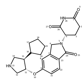 O=C1CC[C@H](N2Cc3cc(O[C@@H]4CNC[C@H]4C4CCCC4)ccc3C2=O)C(=O)N1